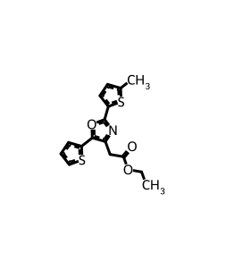 CCOC(=O)Cc1nc(-c2ccc(C)s2)oc1-c1cccs1